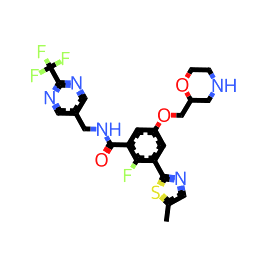 Cc1cnc(-c2cc(OCC3CNCCO3)cc(C(=O)NCc3cnc(C(F)(F)F)nc3)c2F)s1